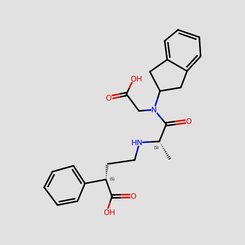 C[C@H](NCC[C@H](C(=O)O)c1ccccc1)C(=O)N(CC(=O)O)C1Cc2ccccc2C1